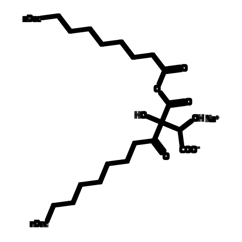 CCCCCCCCCCCCCCCCCC(=O)OC(=O)C(O)(C(=O)CCCCCCCCCCCCCCCCC)C(O)C(=O)[O-].[Na+]